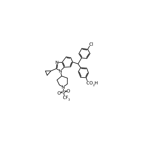 O=C(O)c1ccc(C(c2ccc(Cl)cc2)c2ccc3nc(C4CC4)n(C4CCN(S(=O)(=O)C(F)(F)F)CC4)c3c2)cc1